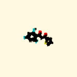 O=C(CC(=O)c1c(F)cc(F)cc1F)c1cccs1